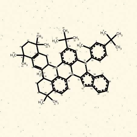 Cc1cc(C(C)(C)C)ccc1N1c2cc(C(C)(C)C)cc3c2B(c2ccc4c5c2N3C2CC3=C(C=C2C5(C)CCC4(C)C)C(C)(C)CCC3(C)C)c2sc3ccccc3c21